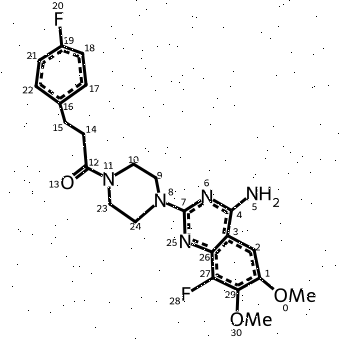 COc1cc2c(N)nc(N3CCN(C(=O)CCc4ccc(F)cc4)CC3)nc2c(F)c1OC